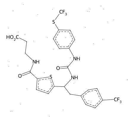 O=C(O)CCNC(=O)c1ccc(C(Cc2ccc(C(F)(F)F)cc2)NC(=O)Nc2ccc(SC(F)(F)F)cc2)s1